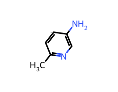 Cc1c[c]c(N)cn1